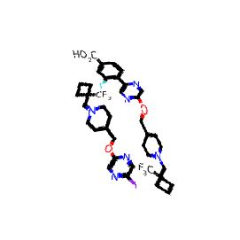 FC(F)(F)C1(CN2CCC(COc3cnc(I)cn3)CC2)CCC1.O=C(O)c1ccc(-c2cnc(OCC3CCN(CC4(C(F)(F)F)CCC4)CC3)cn2)c(F)c1